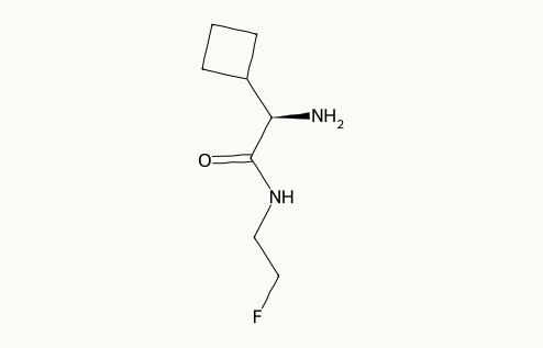 N[C@@H](C(=O)NCCF)C1CCC1